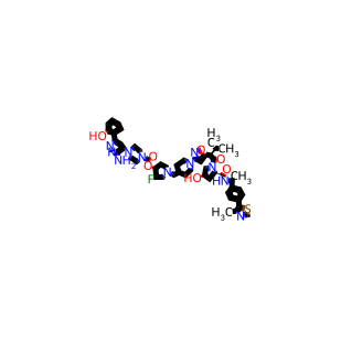 Cc1ncsc1-c1ccc([C@H](C)NC(=O)[C@@H]2C[C@@H](O)CN2C(=O)[C@@H](c2cc(N3CCC(CN4CC[C@H](OC(=O)N5CCN(c6cc(-c7ccccc7O)nnc6N)CC5)[C@H](F)C4)CC3)no2)C(C)C)cc1